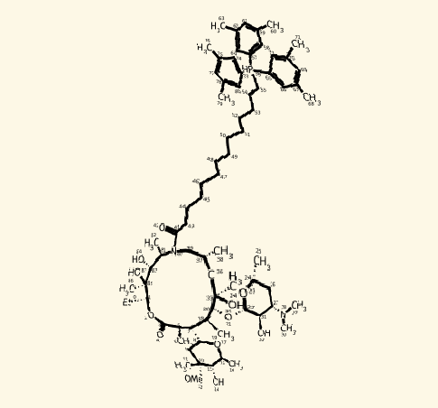 CC[C@H]1OC(=O)[C@H](C)[C@@H](C2C[C@@](C)(OC)[C@@H](O)[C@H](C)O2)[C@H](C)[C@@H](O[C@@H]2O[C@H](C)C[C@H](N(C)C)[C@H]2O)[C@](C)(O)C[C@@H](C)CN(C(=O)CCCCCCCCCCCCC[PH](c2cc(C)cc(C)c2)(c2cc(C)cc(C)c2)c2cc(C)cc(C)c2)[C@H](C)[C@@H](O)[C@]1(C)O